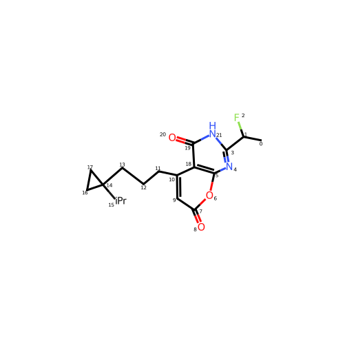 CC(F)c1nc2oc(=O)cc(CCCC3(C(C)C)CC3)c2c(=O)[nH]1